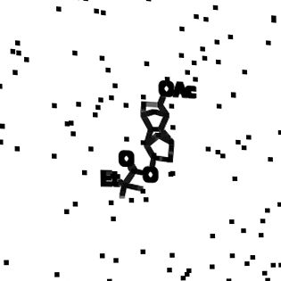 CCC(C)(C)C(=O)OC1CC2CC1C1C3CC(OC(C)=O)C(C3)C21